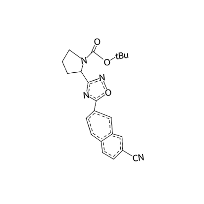 CC(C)(C)OC(=O)N1CCCC1c1noc(-c2ccc3ccc(C#N)cc3c2)n1